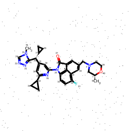 C[C@@H]1CN(Cc2cc3c4c(ccc(F)c4c2)N(c2cc([C@H](c4nncn4C)C4CC4)cc(C4CC4)n2)C3=O)CCO1